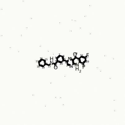 Nc1ncc(-c2cccc(C(=O)NCc3ccccc3)c2)nc1C(=O)c1cc(F)cc(F)c1